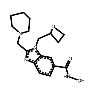 O=C(NO)c1ccc2nc(CN3CCCCC3)n(CC3CCO3)c2c1